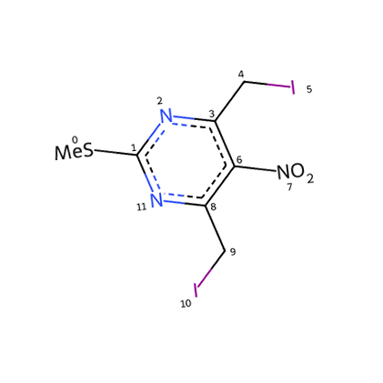 CSc1nc(CI)c([N+](=O)[O-])c(CI)n1